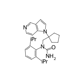 CC(C)c1cccc(C(C)C)c1N(CC1(n2ccc3cnccc32)CCCC1)C(N)=O